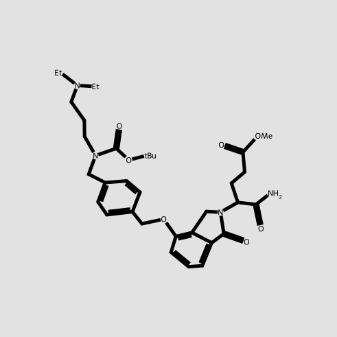 CCN(CC)CCCN(Cc1ccc(COc2cccc3c2CN(C(CCC(=O)OC)C(N)=O)C3=O)cc1)C(=O)OC(C)(C)C